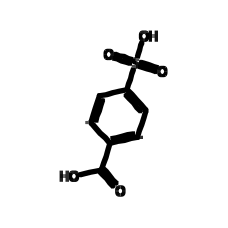 O=C(O)c1[c]cc(S(=O)(=O)O)c[c]1